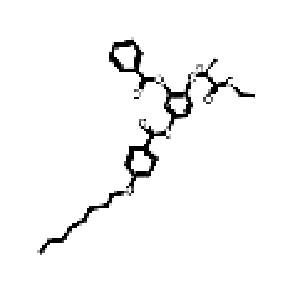 CCCCCCCCOc1ccc(C(=O)Oc2ccc(O[C@@H](C)C(=O)OCC)c(OC(=O)c3ccccc3)c2)cc1